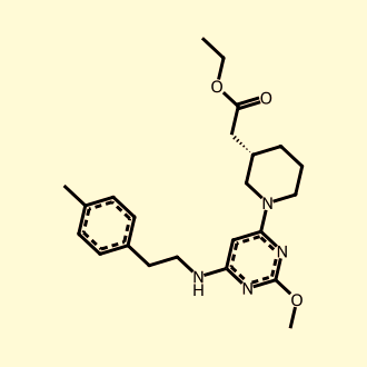 CCOC(=O)C[C@@H]1CCCN(c2cc(NCCc3ccc(C)cc3)nc(OC)n2)C1